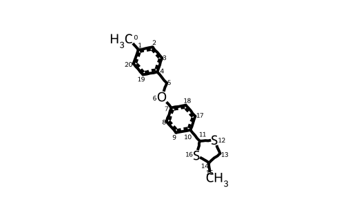 Cc1ccc(COc2ccc(C3SCC(C)S3)cc2)cc1